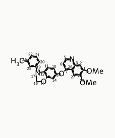 COc1cc2nccc(Oc3ccc4c(c3)OCCN4c3cccc(C)c3)c2cc1OC